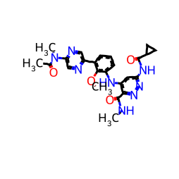 CNC(=O)c1nnc(NC(=O)C2CC2)cc1Nc1cccc(-c2cnc(N(C)C(C)=O)cn2)c1OC